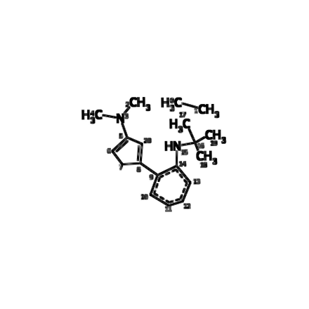 CC.CN(C)C1=CCC(c2ccccc2NC(C)(C)C)=C1